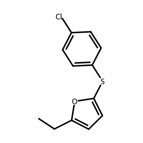 CCc1ccc(Sc2ccc(Cl)cc2)o1